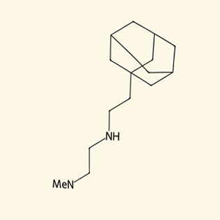 CNCCNCCC12CC3CC(CC(C3)C1)C2